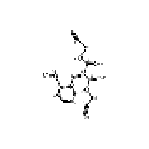 C#CCOC(=O)C(=Cc1ccccc1OC)C(=O)OCC#C